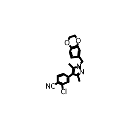 Cc1nn(Cc2ccc3c(c2)OCCO3)c(C)c1-c1ccc(C#N)c(Cl)c1